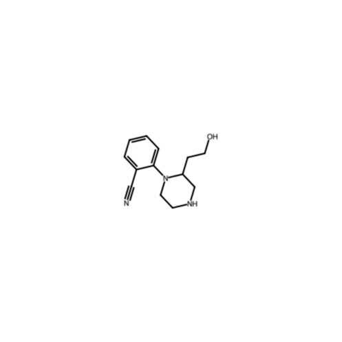 N#Cc1ccccc1N1CCNCC1CCO